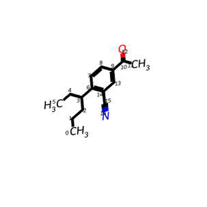 CCCC(CC)c1ccc(C(C)=O)cc1C#N